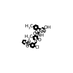 Cc1ccc([C@H](CC(=O)O)NC(=O)Nc2c(O)c(C)cn(Cc3cc(S(=O)(=O)N4CCCC4)ccc3Cl)c2=O)cc1